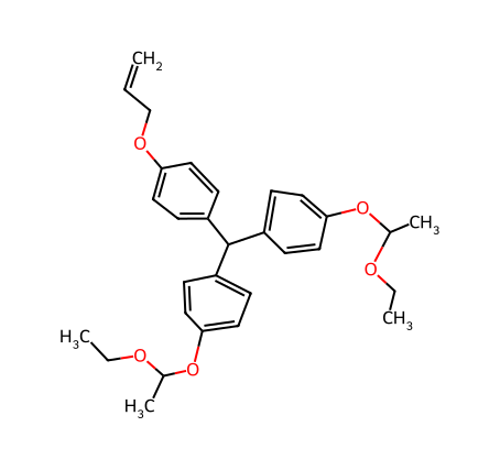 C=CCOc1ccc(C(c2ccc(OC(C)OCC)cc2)c2ccc(OC(C)OCC)cc2)cc1